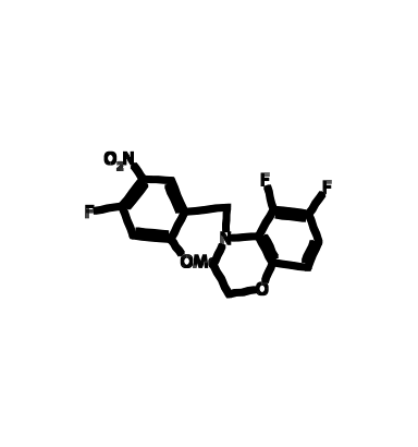 COc1cc(F)c([N+](=O)[O-])cc1CN1CCOc2ccc(F)c(F)c21